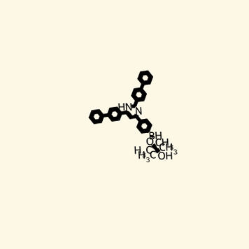 CC(C)(O)C(C)(C)OBc1ccc(C2=NC(c3ccc(-c4ccccc4)cc3)NC(c3ccc(-c4ccccc4)cc3)=C2)cc1